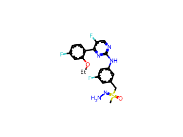 CCOc1cc(F)ccc1-c1nc(Nc2cc(F)cc(CS(C)(=O)=NN)c2)ncc1F